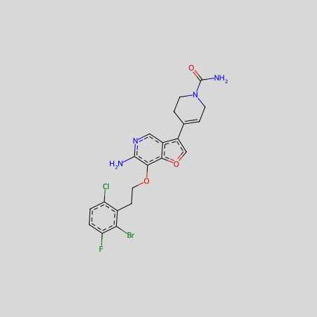 NC(=O)N1CC=C(c2coc3c(OCCc4c(Cl)ccc(F)c4Br)c(N)ncc23)CC1